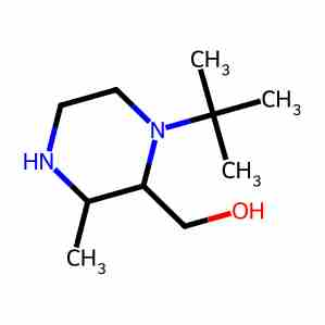 CC1NCCN(C(C)(C)C)C1CO